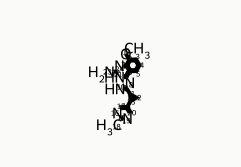 COc1cccc2/c(=N/C(=N)C3CC3c3cnc(C)nc3)[nH]c(N)nc12